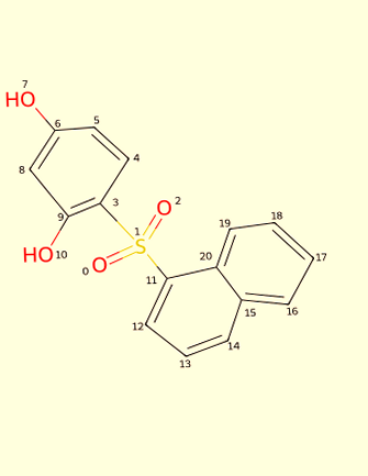 O=S(=O)(c1ccc(O)cc1O)c1cccc2ccccc12